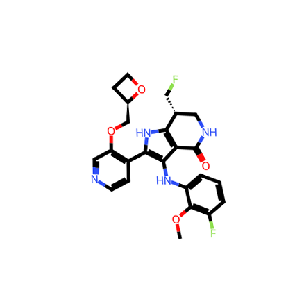 COc1c(F)cccc1Nc1c(-c2ccncc2OC[C@H]2CCO2)[nH]c2c1C(=O)NC[C@H]2CF